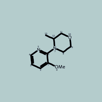 COc1cccnc1N1CCOCC1C